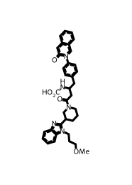 COCCCn1c(C2CCCN(C(=O)CC(Cc3ccc(-n4cc5ccccc5cc4=O)cc3)NC(=O)O)C2)nc2ccccc21